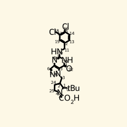 CC(C)(C)C1C(Cn2ncc3nc(NCc4ccc(Cl)c(Cl)c4)[nH]c(=O)c32)CCN1C(=O)O